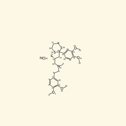 COc1ccc(CCN(C)C[C@@H](C)CC2(c3ccc(OC)c(OC)c3)SCCCS2)cc1OC.Cl